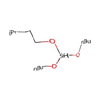 CCCCO[SiH](OCCCC)OCCC(C)C